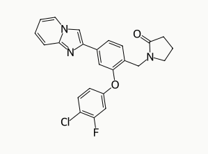 O=C1CCCN1Cc1ccc(-c2cn3ccccc3n2)cc1Oc1ccc(Cl)c(F)c1